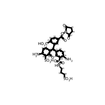 Nc1ccc2c(-c3cc(C(=O)ON4C(=O)CCC4=O)ccc3C(=O)O)c3ccc(N)c(S(=O)(=O)NCCCS(=O)(=O)O)c3[o+]c2c1S(=O)(=O)O